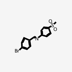 CS(=O)(=O)c1ccc(/N=C/c2ccc(Br)cc2)cc1